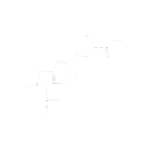 COC(=O)C(O)CNc1ccc2c(c1)CC(=O)N2C(C)(C)C